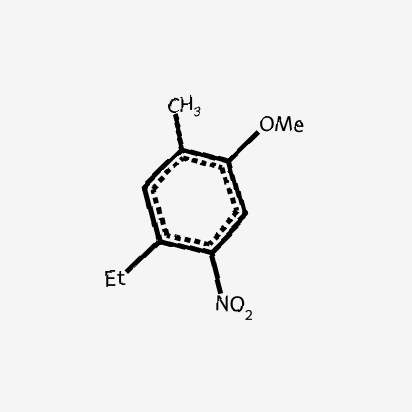 CCc1cc(C)c(OC)cc1[N+](=O)[O-]